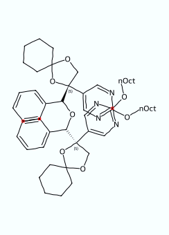 CCCCCCCCOc1ncc([C@@]2(C(OC(c3ccccc3)[C@]3(c4cnc(OCCCCCCCC)nc4)COC4(CCCCC4)O3)c3ccccc3)COC3(CCCCC3)O2)cn1